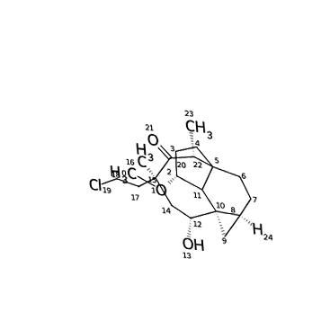 CO[C@@H]1CCC23CC[C@H]4C[C@@]4(C12)[C@H](O)C[C@@](C)(CCCl)C(=O)[C@@H]3C